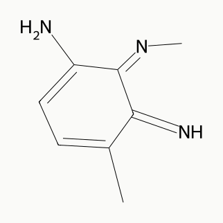 C/N=C1\C(=N)C(C)=CC=C1N